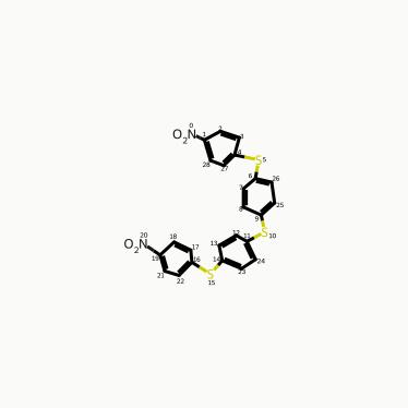 O=[N+]([O-])c1ccc(Sc2ccc(Sc3ccc(Sc4ccc([N+](=O)[O-])cc4)cc3)cc2)cc1